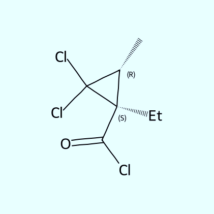 CC[C@@]1(C(=O)Cl)[C@@H](C)C1(Cl)Cl